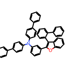 c1ccc(-c2ccc(N(c3ccc(-c4ccccc4)cc3)c3cccc(-c4oc5ccccc5c4-c4ccccc4-c4ccccc4)c3)cc2)cc1